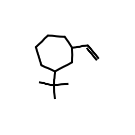 C=CC1CCCCC(C(C)(C)C)C1